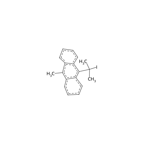 Cc1c2ccccc2c(C(C)(C)I)c2ccccc12